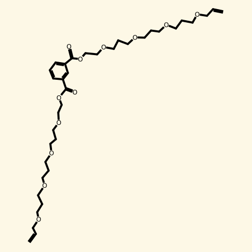 C=CCOCCCOCCCOCCCOCCOC(=O)c1cccc(C(=O)OCCOCCCOCCCOCCCOCC=C)c1